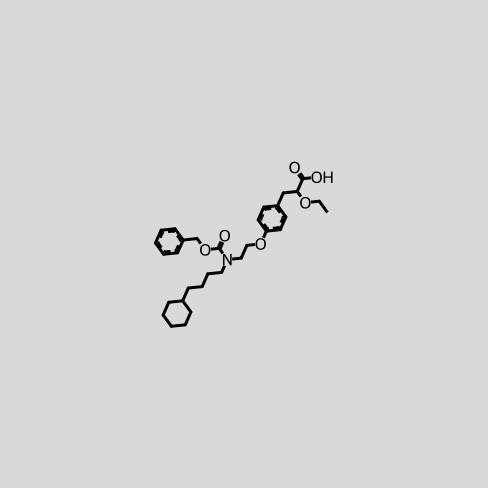 CCOC(Cc1ccc(OCCN(CCCCC2CCCCC2)C(=O)OCc2ccccc2)cc1)C(=O)O